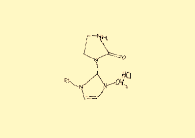 CCN1C=CN(C)C1N1CCNC1=O.Cl